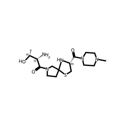 C[C@@H](O)[C@H](N)C(=O)N1CCC2(C1)N[C@H](C(=O)N1CCN(C)CC1)CS2